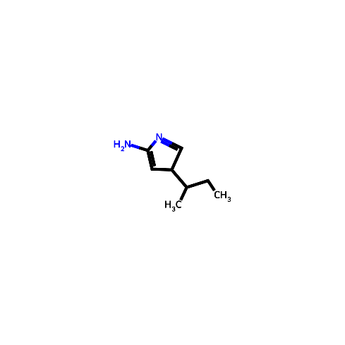 CCC(C)C1C=NC(N)=C1